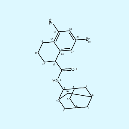 O=C(NC1C2CC3CC(C2)CC1C3)C1CCCc2c(Br)cc(Br)cc21